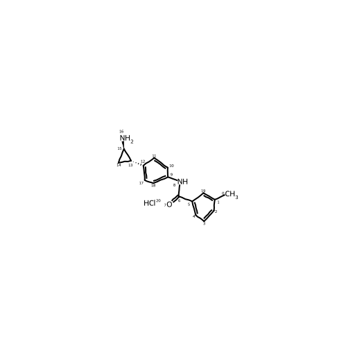 Cc1cccc(C(=O)Nc2ccc([C@@H]3C[C@H]3N)cc2)c1.Cl